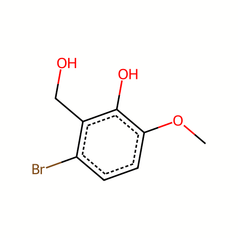 COc1ccc(Br)c(CO)c1O